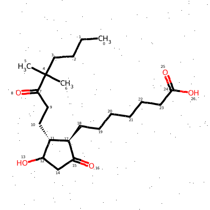 CCCCC(C)(C)C(=O)CC[C@H]1C(O)CC(=O)[C@@H]1CCCCCCC(=O)O